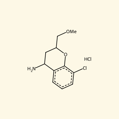 COCC1CC(N)c2cccc(Cl)c2O1.Cl